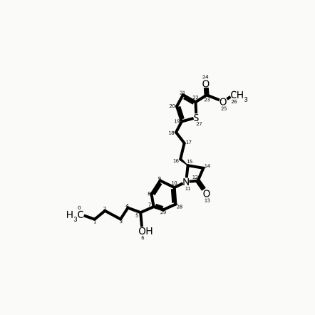 CCCCCC(O)c1ccc(N2C(=O)C[C@@H]2CCCc2ccc(C(=O)OC)s2)cc1